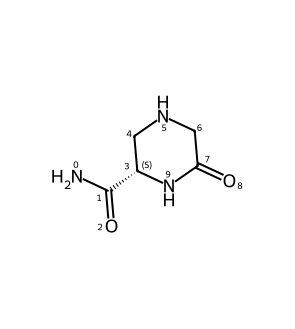 NC(=O)[C@@H]1CNCC(=O)N1